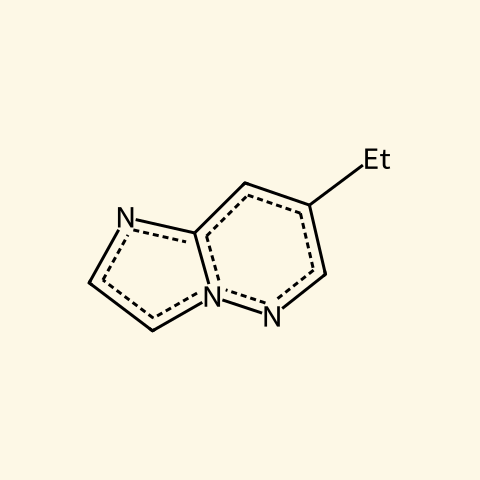 CCc1cnn2ccnc2c1